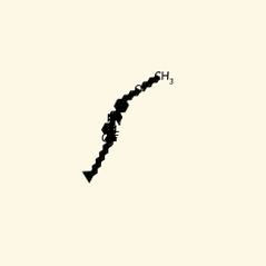 CCCCCCOCCCCc1ccc(-c2cnc(-c3ccc4c(n3)C(F)(F)C(CCCCCCCCCC3CC3)O4)nc2)cc1